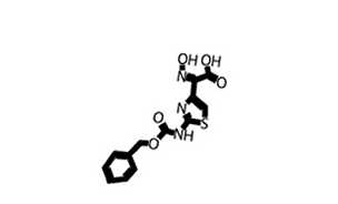 O=C(Nc1nc(C(=NO)C(=O)O)cs1)OCc1ccccc1